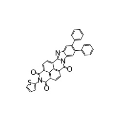 O=C1c2ccc3c(=O)n4c5cc(-c6ccccc6)c(-c6ccccc6)cc5nc4c4ccc(c2c34)C(=O)N1c1cccs1